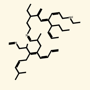 C=C/C=C\C(CC(C)/C=N\CCC(CC)C(=C)/C=C(\C=C/CNCC)C(/C=C\C)CCC)=C(/C/C=C\C(C)C)C(C)CN=C